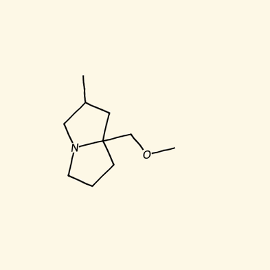 COCC12CCCN1CC(C)C2